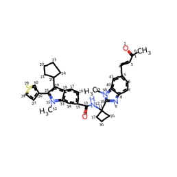 CC(=O)/C=C/c1ccc2nc(C3(NC(=O)c4ccc5c(C6CCCC6)c(-c6ccsc6)n(C)c5c4)CCC3)n(C)c2c1